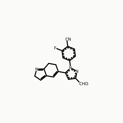 N#Cc1ccc(-n2nc(C=O)cc2C2=CC3=CCN=C3CC2)cc1F